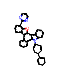 C1=CC(C2C=CC(n3c4ccccc4c4c5oc6c(-c7ncccn7)cccc6c5c5ccccc5c43)=CC2)=CCC1